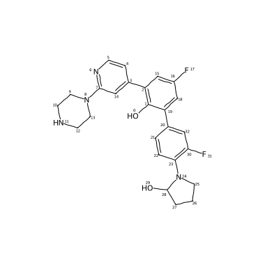 Oc1c(-c2ccnc(N3CCNCC3)c2)cc(F)cc1-c1ccc(N2CCCC2O)c(F)c1